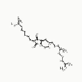 CC(C)CCCCCCN1C(=O)C2CCC(CCCC(C)CCCC(C)C)CC2C1=O